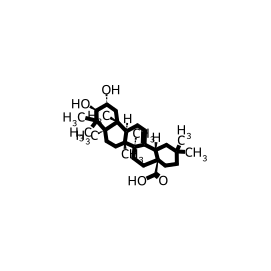 CC1(C)CC[C@]2(C(=O)O)CC[C@]3(C)C(=CC[C@@H]4[C@@]5(C)C[C@@H](O)[C@H](O)C(C)(C)[C@]5(C)CC[C@]43C)[C@@H]2C1